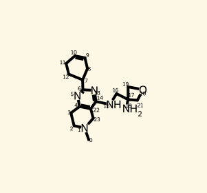 CN1CCc2nc(C3CC=CCC3)nc(NCC3(N)COC3)c2C1